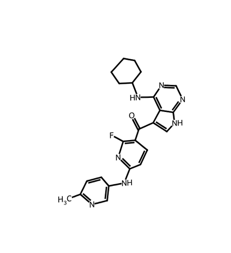 Cc1ccc(Nc2ccc(C(=O)c3c[nH]c4ncnc(NC5CCCCC5)c34)c(F)n2)cn1